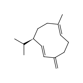 C=C1/C=C/[C@@H](C(C)C)CC/C(C)=C/CC1